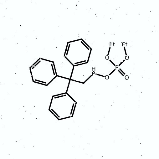 CCOP(=O)(OCC)OPCC(c1ccccc1)(c1ccccc1)c1ccccc1